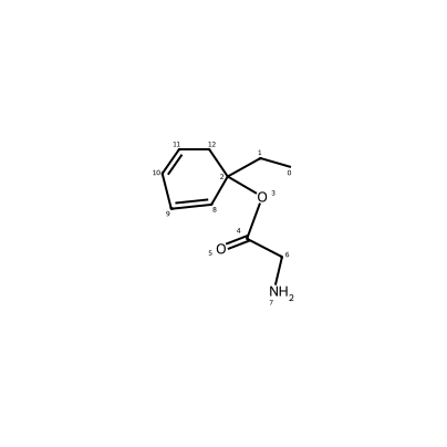 CCC1(OC(=O)CN)C=CC=CC1